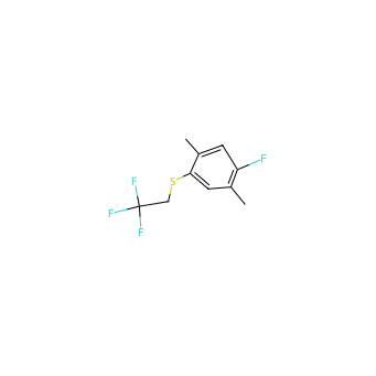 Cc1cc(SCC(F)(F)F)c(C)cc1F